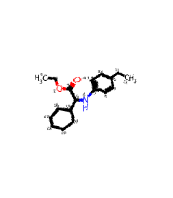 CCOC(=O)C(Nc1ccc(CC)cc1)C1CCCCC1